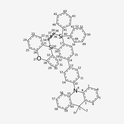 CC1(C)c2ccccc2N(c2ccc(-c3ccc4c(c3)[Si]3(c5ccccc5Oc5ccccc53)c3ccccc3[Si]4(c3ccccc3)c3ccccc3)cc2)c2ccccc21